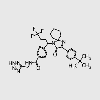 CC(C)(C)c1ccc(C2=NC3(CCCCC3)N(C(CCC(F)(F)F)c3ccc(C(=O)NCc4nn[nH]n4)cc3)C2=O)cc1